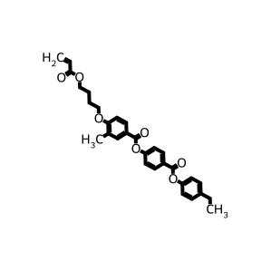 C=CC(=O)OCCCCOc1ccc(C(=O)Oc2ccc(C(=O)Oc3ccc(CC)cc3)cc2)cc1C